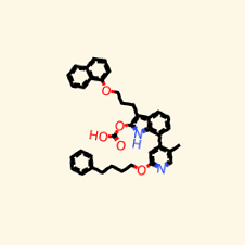 Cc1cnc(OCCCCc2ccccc2)cc1-c1cccc2c(CCCOc3cccc4ccccc34)c(OC(=O)O)[nH]c12